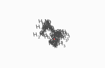 CC[C@H](C)[C@@H]([C@@H](CC(=O)N1CCC[C@H]1C(OC)[C@@H](C)C(=O)N[C@@H](Cc1ccccc1)c1nccs1)OC)N(C)C(=O)[C@@H](NC(=O)[C@H](C(C)C)N(C)C(=O)OCc1ccc(NC(=O)[C@H](CCCNC(N)=O)NC(=O)[C@@H](NC(=O)CCCCCON)C(C)C)cc1)C(C)C